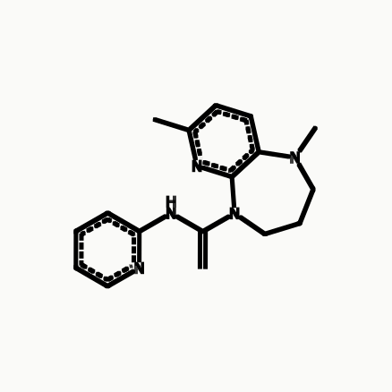 C=C(Nc1ccccn1)N1CCCN(C)c2ccc(C)nc21